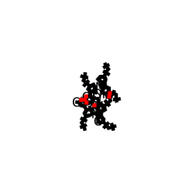 Cc1cc(Cl)cc(C2=CC(C(C)(C)CC(C)(C)C)=CC(n3c4ccc(C(C)(C)CC(C)(C)C)cc4c4cc(C(C)(C)CC(C)(C)C)ccc43)C2(O)OCCCOc2c(C)cc(Cl)cc2-c2cc(C(C)(C)CC(C)(C)C)cc(-n3c4ccc(C(C)(C)CC(C)(C)C)cc4c4cc(C(C)(C)CC(C)(C)C)ccc43)c2O)c1